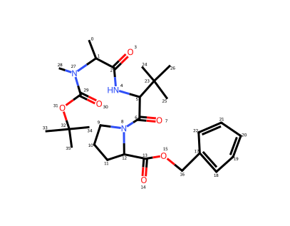 CC(C(=O)NC(C(=O)N1CCCC1C(=O)OCc1ccccc1)C(C)(C)C)N(C)C(=O)OC(C)(C)C